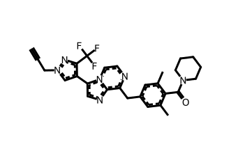 C#CCn1cc(-c2cnc3c(Cc4cc(C)c(C(=O)N5CCCCC5)c(C)c4)nccn23)c(C(F)(F)F)n1